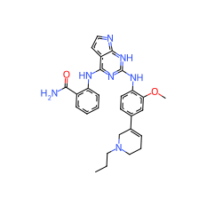 CCCN1CCC=C(c2ccc(Nc3nc(Nc4ccccc4C(N)=O)c4ccnc-4[nH]3)c(OC)c2)C1